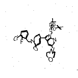 CC(C)(C)OP(=O)(OCn1cc(-c2ccn(Cc3cccc(Cl)c3F)c(=O)c2)c2cc(N3CCOCC3)cnc21)OC(C)(C)C